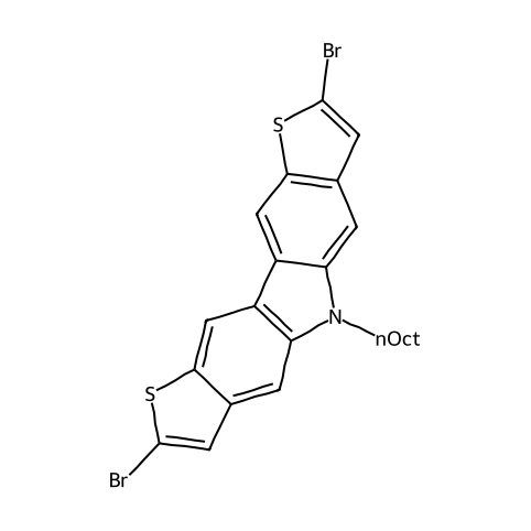 CCCCCCCCn1c2cc3cc(Br)sc3cc2c2cc3sc(Br)cc3cc21